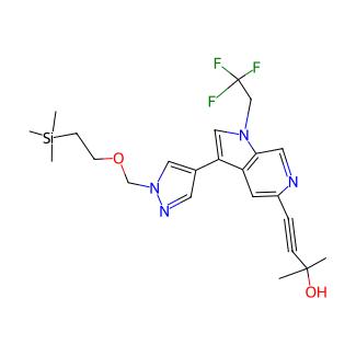 CC(C)(O)C#Cc1cc2c(-c3cnn(COCC[Si](C)(C)C)c3)cn(CC(F)(F)F)c2cn1